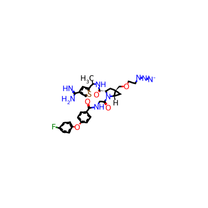 C[C@@H](NC(=O)[C@@H]1C[C@]2(COCCN=[N+]=[N-])C[C@@H]2N1C(=O)CNC(=O)c1ccc(Oc2ccc(F)cc2)cc1)c1cc(C(=N)N)cs1